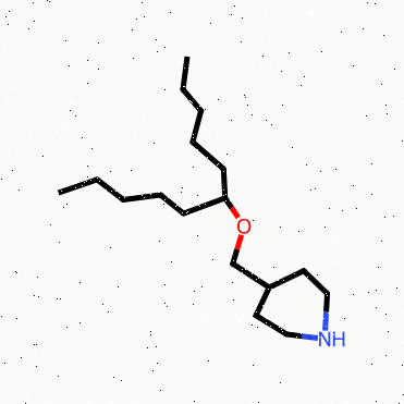 CCCCCC(CCCCC)OCC1CCNCC1